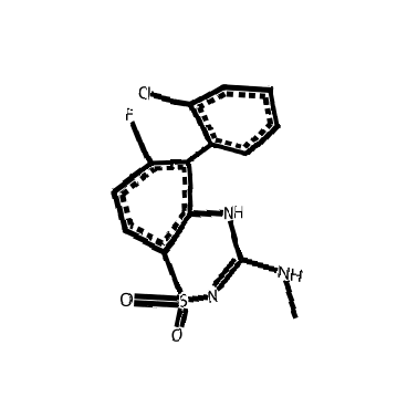 CNC1=NS(=O)(=O)c2ccc(F)c(-c3ccccc3Cl)c2N1